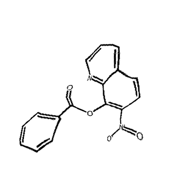 O=C(Oc1c([N+](=O)[O-])ccc2cccnc12)c1ccccc1